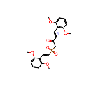 COc1cccc(OC)c1C=CS(=O)(=O)CC(=O)/C=C/c1c(OC)cccc1OC